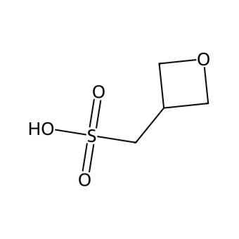 O=S(=O)(O)CC1COC1